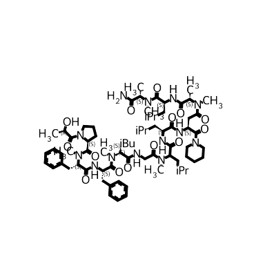 CC[C@H](C)[C@@H](C(=O)NCC(=O)N(C)C(CC(C)C)C(=O)N[C@@H](CC(C)C)C(=O)N[C@@H](CC(=O)N(C)[C@@H](C)C(=O)N[C@@H](CC(C)C)C(=O)N(C)[C@@H](C)C(N)=O)C(=O)N1CCCCC1)N(C)C(=O)[C@H](Cc1ccccc1)NC(=O)[C@H](Cc1ccccc1)N(C)C(=O)[C@@H]1CCCN1C(=O)[C@@H](C)O